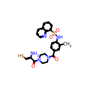 Cc1cc(C(=O)N2CCN(C(=O)/C(N)=C/S)CC2)ccc1NS(=O)(=O)c1cccc2cccnc12